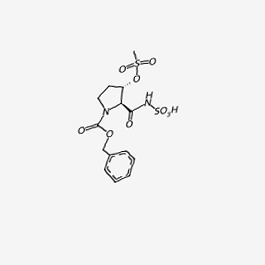 CS(=O)(=O)O[C@H]1CCN(C(=O)OCc2ccccc2)[C@@H]1C(=O)NS(=O)(=O)O